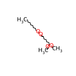 CCCCCCCCCOCOC=CCCCCC(OCC)OCC